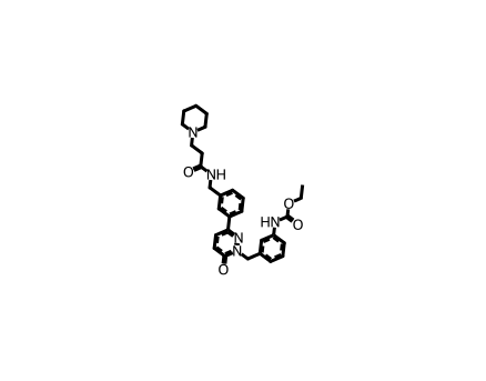 CCOC(=O)Nc1cccc(Cn2nc(-c3cccc(CNC(=O)CCN4CCCCC4)c3)ccc2=O)c1